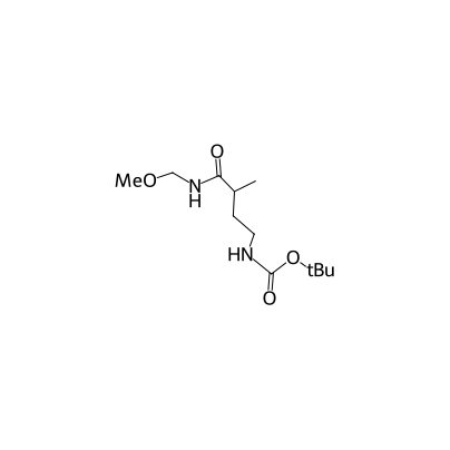 COCNC(=O)C(C)CCNC(=O)OC(C)(C)C